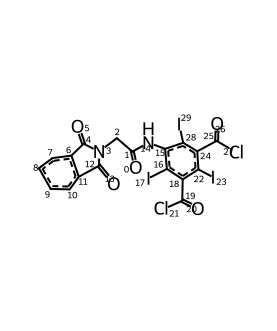 O=C(CN1C(=O)c2ccccc2C1=O)Nc1c(I)c(C(=O)Cl)c(I)c(C(=O)Cl)c1I